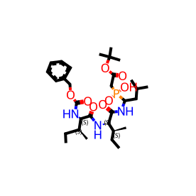 CC[C@H](C)[C@H](NC(=O)OCc1ccccc1)C(=O)N[C@H](C(=O)NC(CC(C)C)P(=O)(O)CC(=O)OC(C)(C)C)[C@@H](C)CC